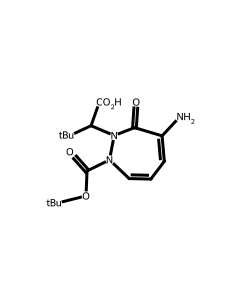 CC(C)(C)OC(=O)N1C=CC=C(N)C(=O)N1C(C(=O)O)C(C)(C)C